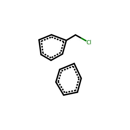 ClCc1ccccc1.c1ccccc1